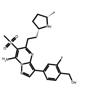 C[C@H]1CC[C@@H](CCc2nc3c(-c4ccc(CO)c(F)c4)cnn3c(N)c2S(C)(=O)=O)N1